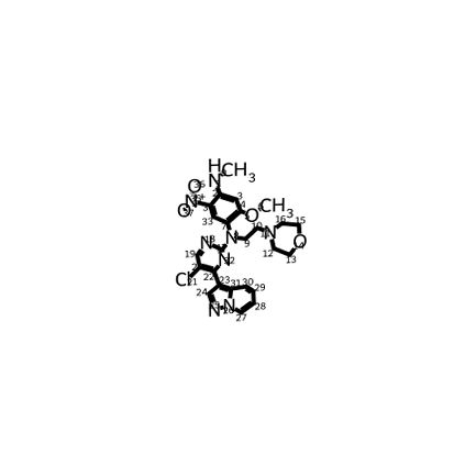 CNc1cc(OC)c(N(CCN2CCOCC2)c2ncc(Cl)c(-c3cnn4ccccc34)n2)cc1[N+](=O)[O-]